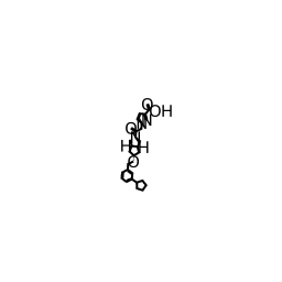 O=C(O)c1ccn(CC(=O)N2C[C@H]3C[C@H](OCc4cccc(C5CCCC5)c4)C[C@H]3C2)n1